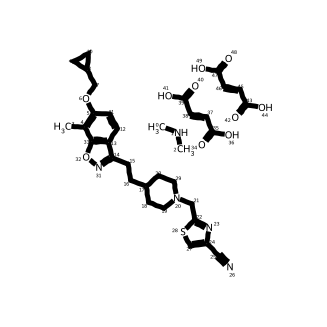 CNC.Cc1c(OCC2CC2)ccc2c(CCC3CCN(Cc4nc(C#N)cs4)CC3)noc12.O=C(O)C=CC(=O)O.O=C(O)C=CC(=O)O